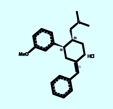 COc1cccc([C@H]2C/C(=C\c3ccccc3)CC[C@H]2CN(C)C)c1.Cl